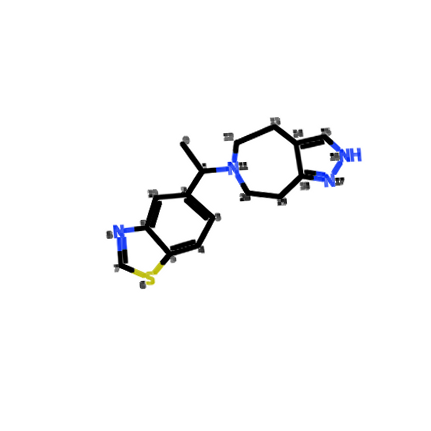 CC(c1ccc2scnc2c1)N1CCc2c[nH]nc2CC1